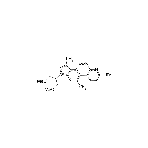 CNc1nc(C(C)C)ccc1-c1nc2c(C)cn(C(COC)COC)c2cc1C